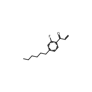 C=CC(=O)c1ccc(CCCCCC)cc1F